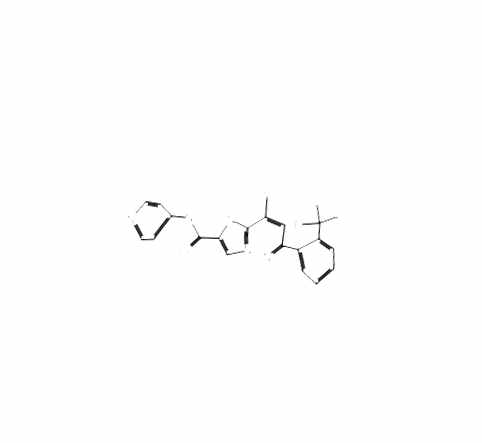 C/C(=C/C(=N)c1ccccc1C(F)(F)F)c1ncc(C(=O)Nc2ccncc2)[nH]1